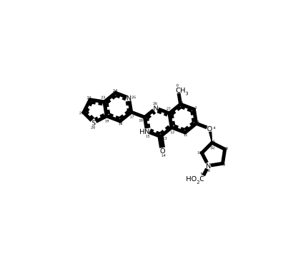 Cc1cc(O[C@H]2CCN(C(=O)O)C2)cc2c(=O)[nH]c(-c3cc4sccc4cn3)nc12